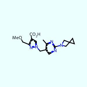 COCc1nn(Cc2cnc(N3CC4(CC4)C3)nc2C)cc1C(=O)O